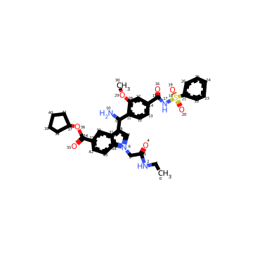 CCNC(=O)Cn1cc(C(N)c2ccc(C(=O)NS(=O)(=O)c3ccccc3)cc2OC)c2cc(C(=O)OC3CCCC3)ccc21